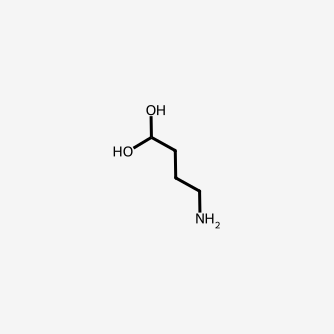 NCCCC(O)O